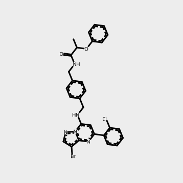 CC(Oc1ccccc1)C(=O)NCc1ccc(CNc2cc(-c3ccccc3Cl)nc3c(Br)cnn23)cc1